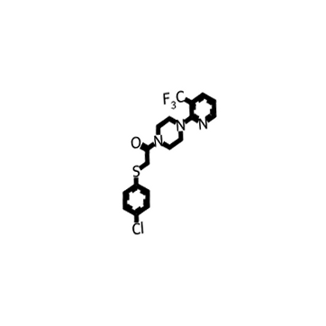 O=C(CSc1ccc(Cl)cc1)N1CCN(c2ncccc2C(F)(F)F)CC1